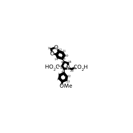 COc1ccc([C@H]2[C@H](C(=O)O)[C@@H](c3ccc4c(c3)OCO4)CN2CC(=O)O)cc1